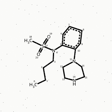 CCCCN(c1ccccc1N1CCNCC1)S(C)(=O)=O